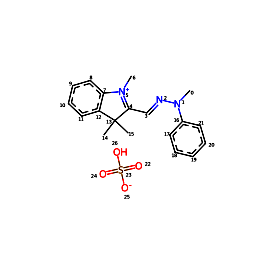 CN(N=CC1=[N+](C)c2ccccc2C1(C)C)c1ccccc1.O=S(=O)([O-])O